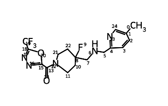 Cc1ccc(CNCC2(F)CCN(C(=O)c3nnc(C(F)(F)F)o3)CC2)nc1